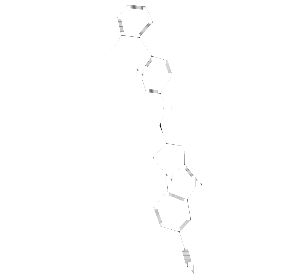 N#Cc1ccc2c(c1)nc1n2C[C@@H](COc2ccc(-c3ccccc3O)nc2)O1